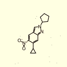 O=[N+]([O-])c1cc2cn(C3CCCC3)nc2cc1C1CC1